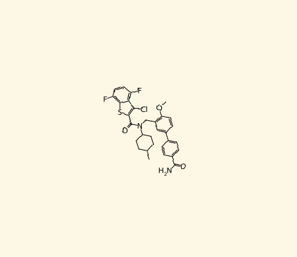 COc1ccc(-c2ccc(C(N)=O)cc2)cc1CN(C(=O)c1sc2c(F)ccc(F)c2c1Cl)C1CCC(C)CC1